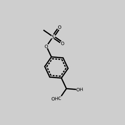 CS(=O)(=O)Oc1ccc(C(O)C=O)cc1